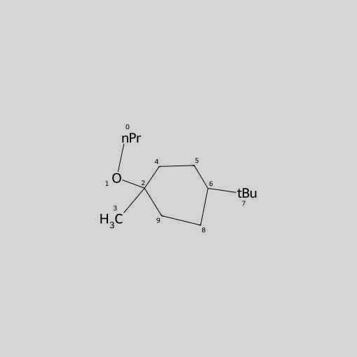 CCCOC1(C)CCC(C(C)(C)C)CC1